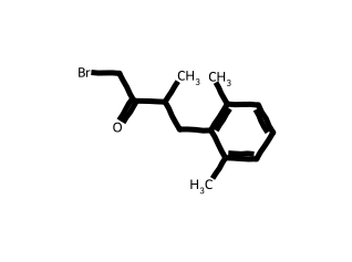 Cc1cccc(C)c1CC(C)C(=O)CBr